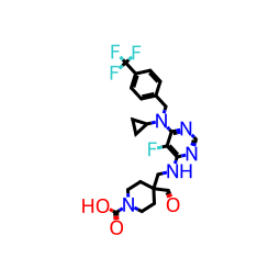 O=CC1(CNc2ncnc(N(Cc3ccc(C(F)(F)F)cc3)C3CC3)c2F)CCN(C(=O)O)CC1